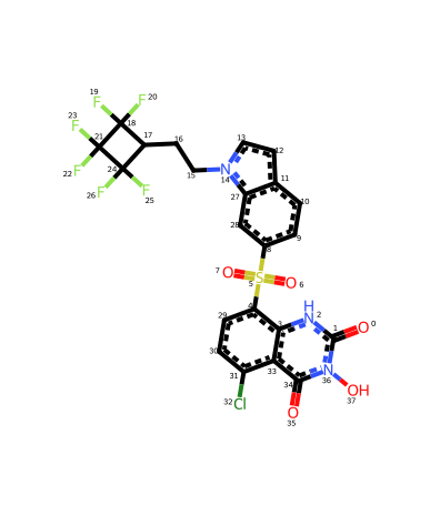 O=c1[nH]c2c(S(=O)(=O)c3ccc4ccn(CCC5C(F)(F)C(F)(F)C5(F)F)c4c3)ccc(Cl)c2c(=O)n1O